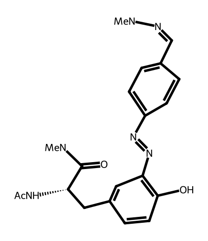 CN/N=C\c1ccc(/N=N/c2cc(C[C@H](NC(C)=O)C(=O)NC)ccc2O)cc1